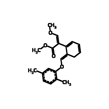 COC=C(C(=O)OC)C1=CC=CCC1=COc1cc(C)ccc1C